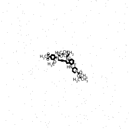 C=CCn1c(C#CCN(C(=O)OC(C)(C)C)c2ccc(S(C)(=O)=O)cc2OC)cc2c(N[C@H]3CCN(C(=O)OC(C)(C)C)C[C@H]3F)cccc21